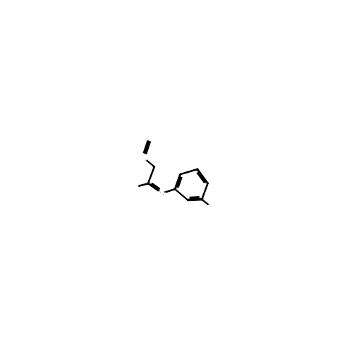 O=[S+]CC(=Nc1cccc(C(F)(F)F)c1)C(F)(F)F